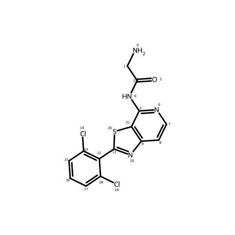 NCC(=O)Nc1nccc2nc(-c3c(Cl)cccc3Cl)sc12